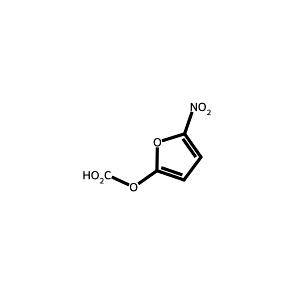 O=C(O)Oc1ccc([N+](=O)[O-])o1